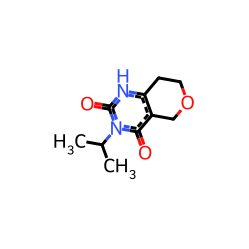 CC(C)n1c(=O)[nH]c2c(c1=O)COCC2